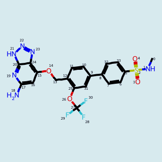 CNS(=O)(=O)c1ccc(-c2ccc(COc3cc(N)nc4[nH]nnc34)c(OC(F)(F)F)c2)cc1